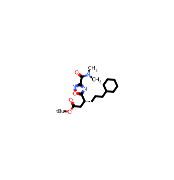 CN(C)C(=O)c1noc([C@H](CCCC2CCCCC2)CC(=O)OC(C)(C)C)n1